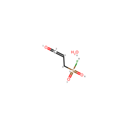 O.O=C=CCS(=O)(=O)F